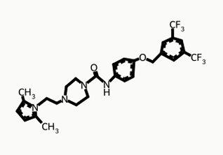 Cc1ccc(C)n1CCN1CCN(C(=O)Nc2ccc(OCc3cc(C(F)(F)F)cc(C(F)(F)F)c3)cc2)CC1